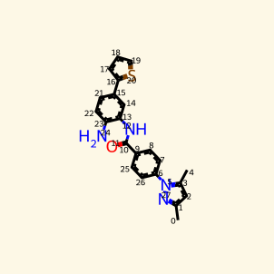 Cc1cc(C)n(-c2ccc(C(=O)Nc3cc(-c4cccs4)ccc3N)cc2)n1